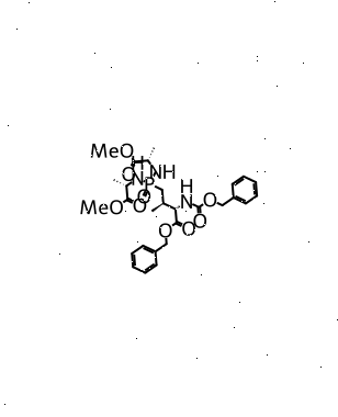 COC(=O)[C@H](C)NP(=O)(C[C@H](C)[C@H](NC(=O)OCc1ccccc1)C(=O)OCc1ccccc1)N[C@@H](C)C(=O)OC